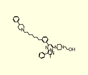 Cc1nn2c(N3CCN(CCO)CC3)cc(-c3cccc(CCCCCCCN4CCC(c5ccccc5)CC4)c3)nc2c1-c1ccccc1